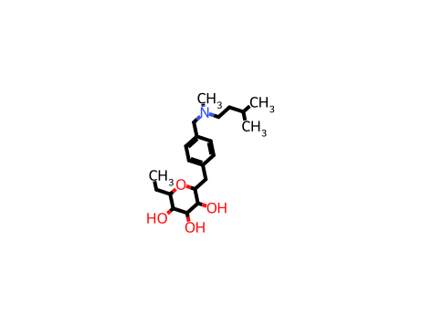 CCC1OC(Cc2ccc(CN(C)CCC(C)C)cc2)C(O)C(O)C1O